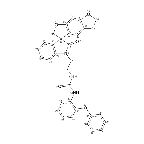 O=C(NCCN1C(=O)C2(COc3cc4c(cc32)OCO4)c2ccccc21)Nc1ccccc1Oc1ccccc1